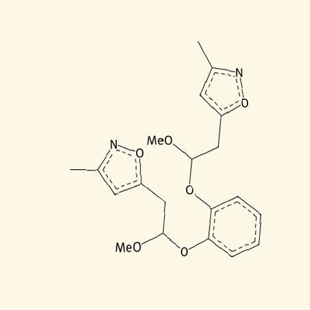 COC(Cc1cc(C)no1)Oc1ccccc1OC(Cc1cc(C)no1)OC